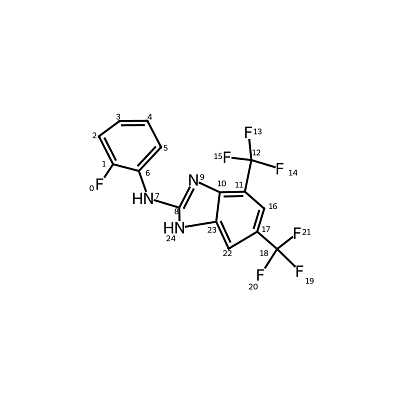 Fc1ccccc1Nc1nc2c(C(F)(F)F)cc(C(F)(F)F)cc2[nH]1